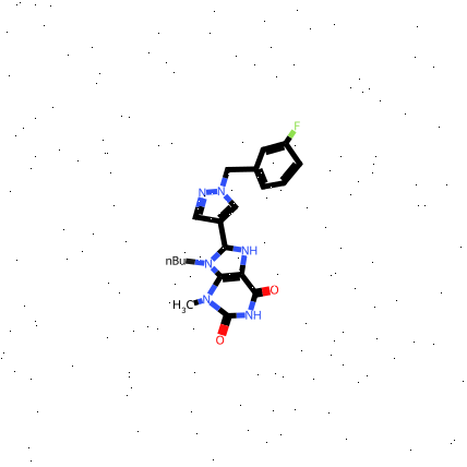 CCCCN1c2c(c(=O)[nH]c(=O)n2C)NC1c1cnn(Cc2cccc(F)c2)c1